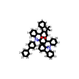 CC1(C)c2ccccc2-c2c(-c3ccccc3N(c3ccc(-c4ccccc4)cc3)c3ccc(-c4ccccc4-n4c5ccccc5c5ccccc54)cc3)cccc21